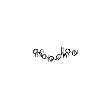 Cc1c(C(=O)NC2CCN(Cc3ccc(N4CCC(NC(=O)c5ccccc5)CC4)nc3)CC2)cccc1-c1cccnc1